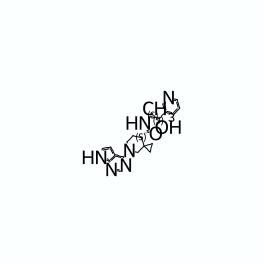 C[C@H](NC(=O)[C@H]1CCN(c2ncnc3[nH]ccc23)CC12CC2)[C@@H](O)c1cccnc1